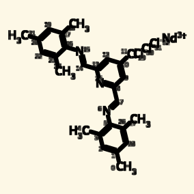 Cc1cc(C)c(N=Cc2cc(Cl)cc(C=Nc3c(C)cc(C)cc3C)n2)c(C)c1.[Cl-].[Cl-].[Cl-].[Nd+3]